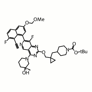 C#Cc1c(F)ccc2cc(OCOC)cc(-c3ncc4c(N5CCC[C@@](C)(O)C5)nc(OCC5(CC6CCN(C(=O)OC(C)(C)C)CC6)CC5)nc4c3F)c12